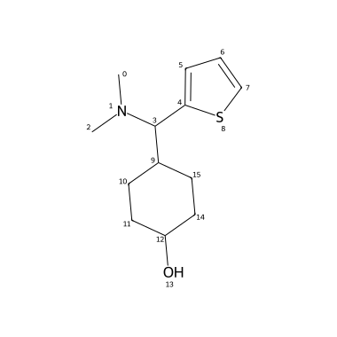 CN(C)C(c1cccs1)C1CCC(O)CC1